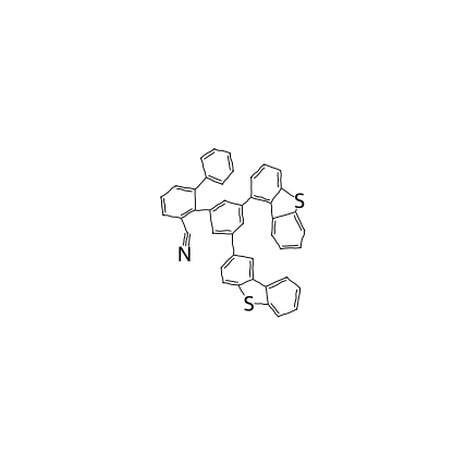 N#Cc1cccc(-c2ccccc2)c1-c1cc(-c2ccc3sc4ccccc4c3c2)cc(-c2cccc3sc4ccccc4c23)c1